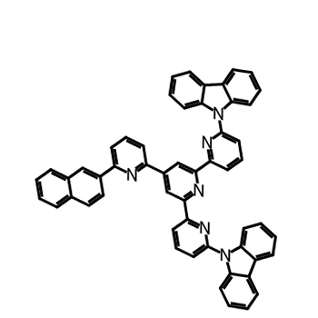 c1cc(-c2cc(-c3cccc(-n4c5ccccc5c5ccccc54)n3)nc(-c3cccc(-n4c5ccccc5c5ccccc54)n3)c2)nc(-c2ccc3ccccc3c2)c1